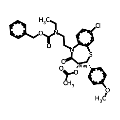 CCN(CCN1C(=O)[C@@H](OC(C)=O)[C@@H](c2ccc(OC)cc2)Sc2cc(Cl)ccc21)C(=O)OCc1ccccc1